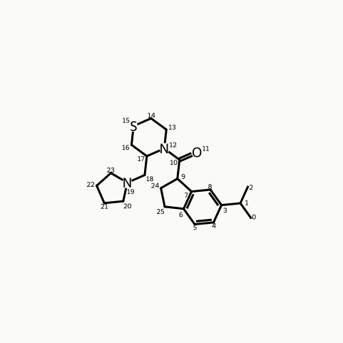 CC(C)c1ccc2c(c1)C(C(=O)N1CCSCC1CN1CCCC1)CC2